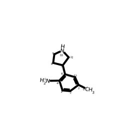 Cc1ccc(N)c(C2CCNC2)c1